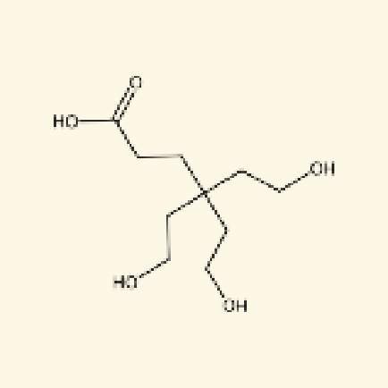 O=C(O)CCC(CCO)(CCO)CCO